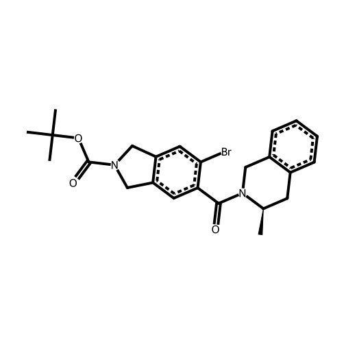 C[C@@H]1Cc2ccccc2CN1C(=O)c1cc2c(cc1Br)CN(C(=O)OC(C)(C)C)C2